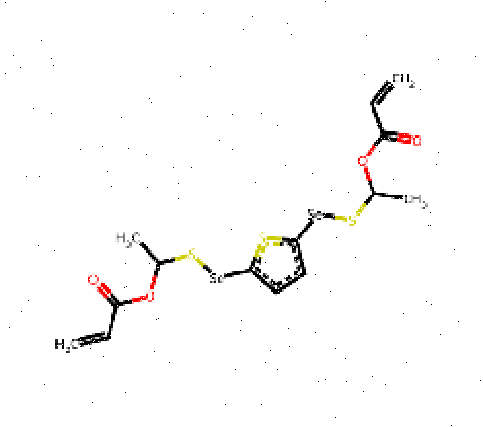 C=CC(=O)OC(C)S[Se]c1ccc([Se]SC(C)OC(=O)C=C)s1